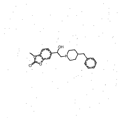 Cn1c(=O)oc2cc(C(O)CN3CCC(Cc4ccccc4)CC3)ccc21